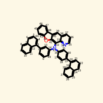 c1cc(-c2cccc3ccccc23)cc(N(c2ccc(-c3cccc4ccccc34)cc2)c2c3ncccc3cc3c2oc2ccccc23)c1